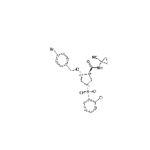 N#CC1(NC(=O)[C@H]2C[C@H](S(=O)(=O)c3ccccc3Cl)C[C@@H]2OCc2ccc(Br)cc2)CC1